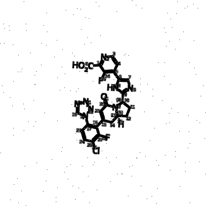 O=C(O)c1nccc(-c2cnc([C@H]3CC[C@H]4CC(c5c(-n6cnnn6)ccc(Cl)c5F)=CC(=O)N43)[nH]2)c1F